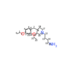 CCOc1ccc(CC2CCN(CCCCN)CC2)c(OCC)c1